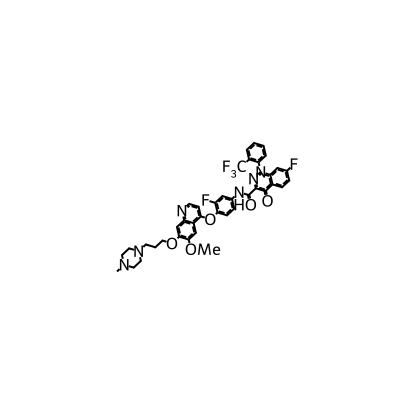 COc1cc2c(Oc3ccc(NC(=O)c4nn(-c5ccccc5C(F)(F)F)c5cc(F)ccc5c4=O)cc3F)ccnc2cc1OCCCN1CCN(C)CC1